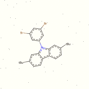 CC(C)(C)c1ccc2c3ccc(C(C)(C)C)cc3n(-c3cc(Br)cc(Br)c3)c2c1